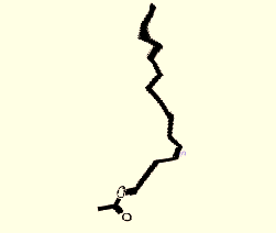 CCCCCCCC/C=C\CCOC(C)=O